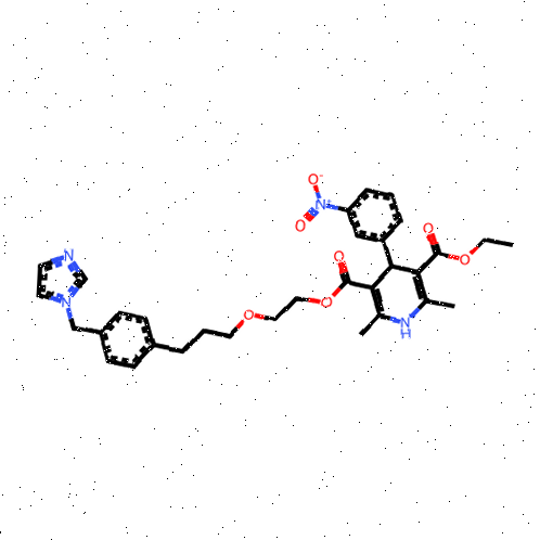 CCOC(=O)C1=C(C)NC(C)=C(C(=O)OCCOCCCc2ccc(Cn3ccnc3)cc2)C1c1cccc([N+](=O)[O-])c1